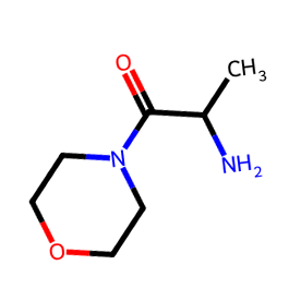 CC(N)C(=O)N1CCOCC1